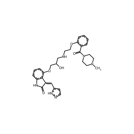 CN1CCN(C(=O)c2ccccc2OCCNCC(O)COc2cccc3c2C(=Cc2ccn[nH]2)C(=O)N3)CC1